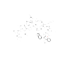 CC(C)C[C@H](NC(=O)[C@H](CC(=O)O)NC(=O)[C@@H](N)C(C)C)C(=O)N[C@@H](CC(N)=O)C(=O)N1CCC[C@H]1C(=O)N[C@@H](CO)C(=O)N[C@@H](CC(N)=O)C(=O)N[C@H](C(=O)NCC(=O)N[C@@H](Cc1c[nH]c2ccccc12)C(=O)N[C@@H](CC(N)=O)C(=O)N[C@@H](CCCCN)C(=O)N[C@H](C(=O)N[C@H](C(=O)N[C@@H](Cc1ccccc1)C(=O)N[C@@H](C)C(=O)O)[C@@H](C)O)[C@@H](C)O)C(C)C